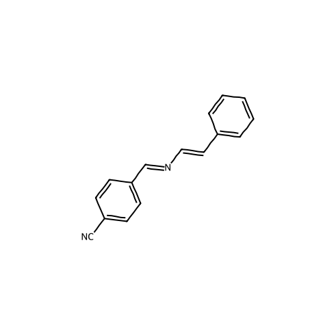 N#Cc1ccc(C=NC=Cc2ccccc2)cc1